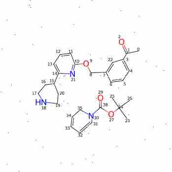 CC(=O)c1cccc(COc2cccc(C3CCNCC3)n2)c1.CC(C)(C)OC(=O)N1C=CC=CC1